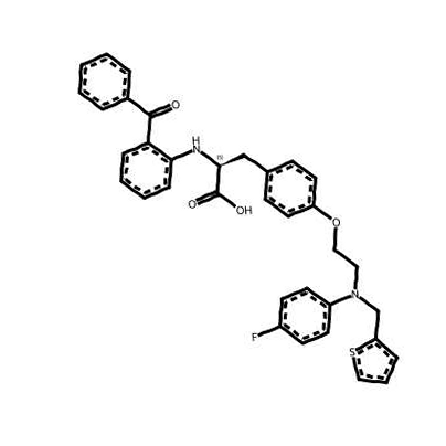 O=C(c1ccccc1)c1ccccc1N[C@@H](Cc1ccc(OCCN(Cc2cccs2)c2ccc(F)cc2)cc1)C(=O)O